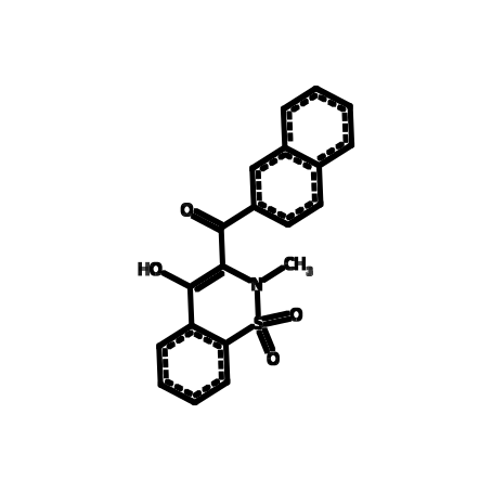 CN1C(C(=O)c2ccc3ccccc3c2)=C(O)c2ccccc2S1(=O)=O